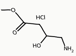 COC(=O)CC(O)CN.Cl